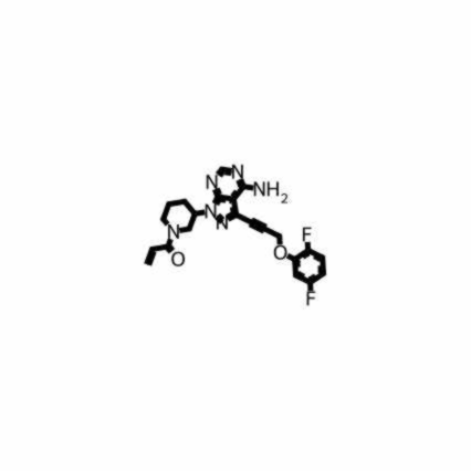 C=CC(=O)N1CCCC(n2nc(C#CCOc3cc(F)ccc3F)c3c(N)ncnc32)C1